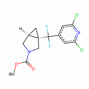 CC(C)(C)OC(=O)N1C[C@H]2C[C@@]2(C(F)(F)c2cc(Cl)nc(Cl)c2)C1